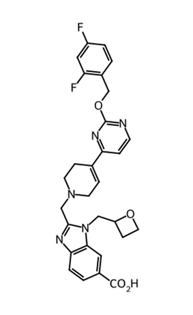 O=C(O)c1ccc2nc(CN3CC=C(c4ccnc(OCc5ccc(F)cc5F)n4)CC3)n(CC3CCO3)c2c1